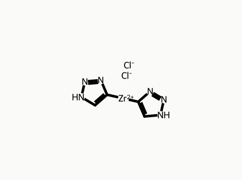 [Cl-].[Cl-].c1[nH]nn[c]1[Zr+2][c]1c[nH]nn1